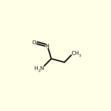 CCC(N)N=O